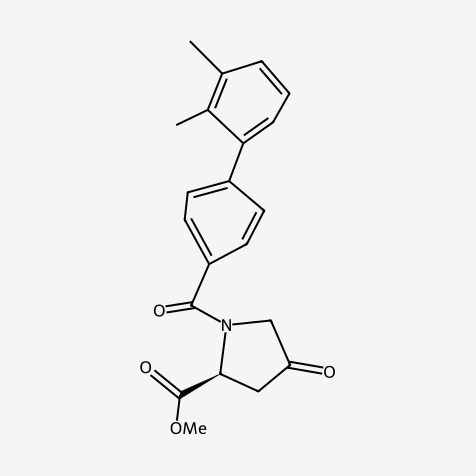 COC(=O)[C@@H]1CC(=O)CN1C(=O)c1ccc(-c2cccc(C)c2C)cc1